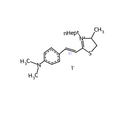 CCCCCCC[N+]1=C(/C=C/c2ccc(N(C)C)cc2)SCC1C.[I-]